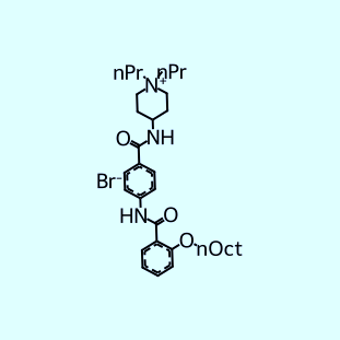 CCCCCCCCOc1ccccc1C(=O)Nc1ccc(C(=O)NC2CC[N+](CCC)(CCC)CC2)cc1.[Br-]